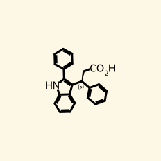 O=C(O)C[C@@H](c1ccccc1)c1c(-c2ccccc2)[nH]c2ccccc12